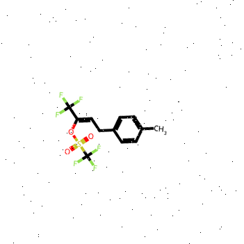 Cc1ccc(CC=C(OS(=O)(=O)C(F)(F)F)C(F)(F)F)cc1